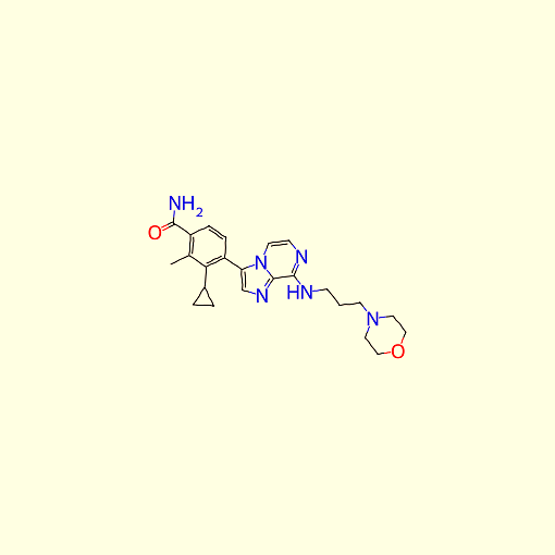 Cc1c(C(N)=O)ccc(-c2cnc3c(NCCCN4CCOCC4)nccn23)c1C1CC1